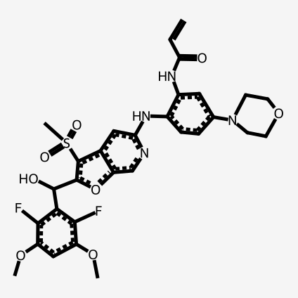 C=CC(=O)Nc1cc(N2CCOCC2)ccc1Nc1cc2c(S(C)(=O)=O)c(C(O)c3c(F)c(OC)cc(OC)c3F)oc2cn1